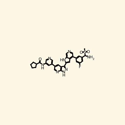 CS(=O)(=O)C(N)c1cc(F)cc(-c2cncc3[nH]c(-c4n[nH]c5ncc(-c6cncc(NC(=O)C7CCCC7)c6)cc45)cc23)c1